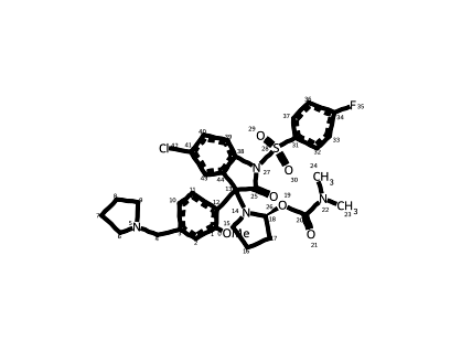 COc1cc(CN2CCCC2)ccc1C1(N2CCC[C@@H]2OC(=O)N(C)C)C(=O)N(S(=O)(=O)c2ccc(F)cc2)c2ccc(Cl)cc21